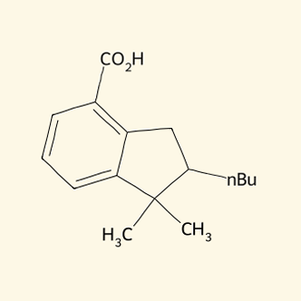 CCCCC1Cc2c(C(=O)O)cccc2C1(C)C